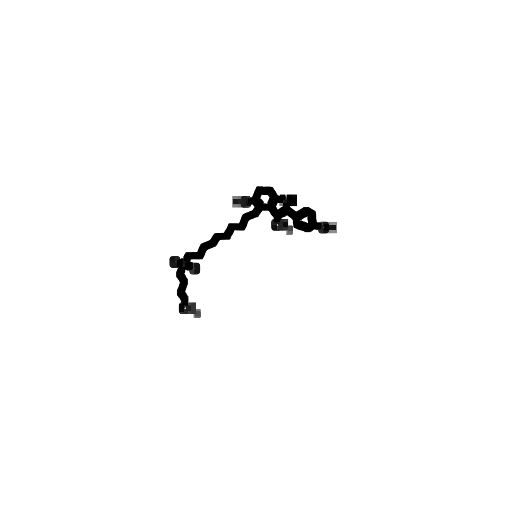 CCCCCS(=O)(=O)CCCCCCCCCCc1c(O)ccc2[nH]c(-c3ccc(O)cc3)c(C)c12